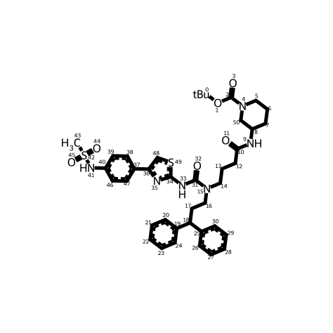 CC(C)(C)OC(=O)N1CCCC(NC(=O)CCCN(CCC(c2ccccc2)c2ccccc2)C(=O)Nc2nc(-c3ccc(NS(C)(=O)=O)cc3)cs2)C1